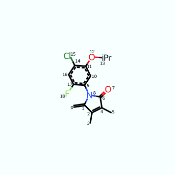 C=C1C(C)=C(C)C(=O)N1c1cc(OC(C)C)c(Cl)cc1F